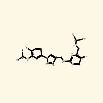 Fc1ccc(-n2cc(COc3ncc(F)c(COC(F)F)n3)nn2)cc1OC(F)F